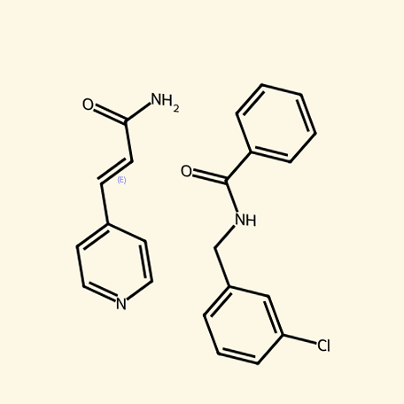 NC(=O)/C=C/c1ccncc1.O=C(NCc1cccc(Cl)c1)c1ccccc1